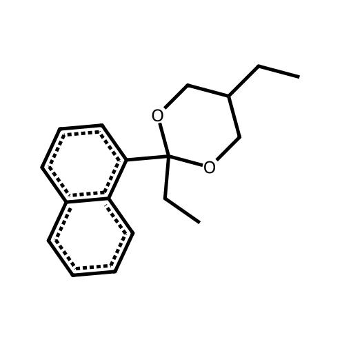 CCC1COC(CC)(c2cccc3ccccc23)OC1